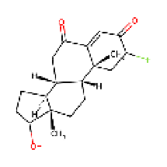 C[C@]12CC(F)C(=O)C=C1C(=O)C[C@@H]1[C@H]2CC[C@]2(C)C(O)CC[C@@H]12